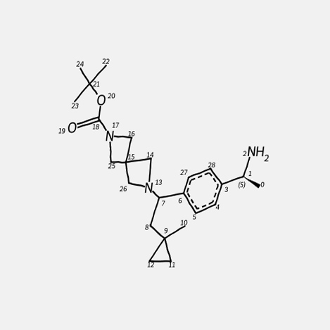 C[C@H](N)c1ccc(C(CC2(C)CC2)N2CC3(CN(C(=O)OC(C)(C)C)C3)C2)cc1